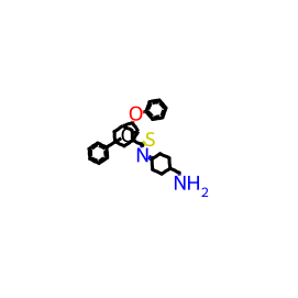 NCC1CCC(=NC(=S)C23CC4CC(c5ccccc5)(CC2C4Oc2ccccc2)C3)CC1